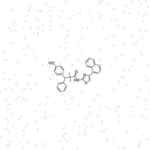 CC(C)(C(=O)Nc1nc(-c2cccc3ccccc23)cs1)C(c1ccccc1)c1ccc(O)cc1